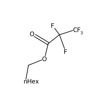 CCCCCCCOC(=O)C(F)(F)C(F)(F)F